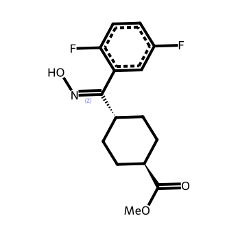 COC(=O)[C@H]1CC[C@H](/C(=N/O)c2cc(F)ccc2F)CC1